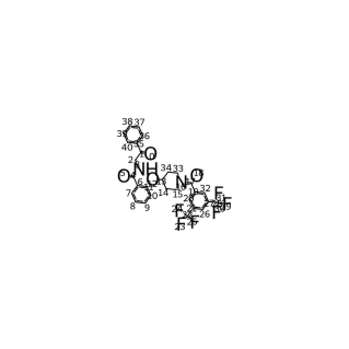 O=C(CNC(=O)c1ccccc1OC1CCN(C(=O)c2cc(C(F)(F)F)cc(C(F)(F)F)c2)CC1)c1ccccc1